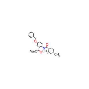 COC(=O)c1cc(OCc2ccccc2)ccc1N(C)C(=O)[C@H]1CC[C@H](C)CC1